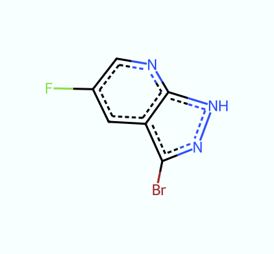 Fc1cnc2[nH]nc(Br)c2c1